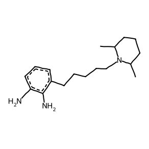 CC1CCCC(C)N1CCCCCc1cccc(N)c1N